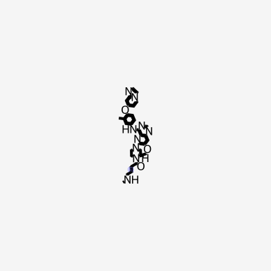 CNC/C=C/C(=O)N1CCN2C[C@H]1COc1cc3ncnc(Nc4ccc(Oc5ccn6ccnc6c5)c(C)c4)c3nc12